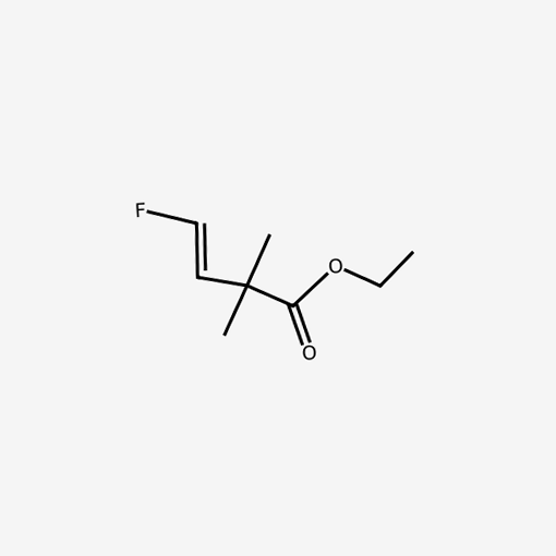 CCOC(=O)C(C)(C)C=CF